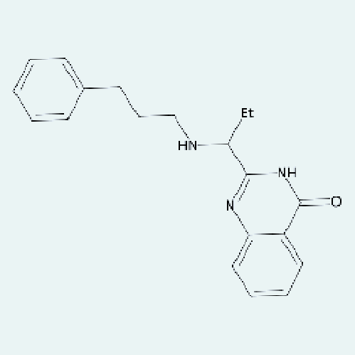 CCC(NCCCc1ccccc1)c1nc2ccccc2c(=O)[nH]1